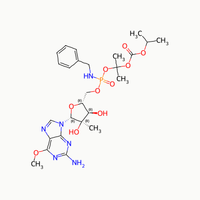 COc1nc(N)nc2c1ncn2[C@@H]1O[C@H](COP(=O)(NCc2ccccc2)OC(C)(C)OC(=O)OC(C)C)[C@@H](O)[C@@]1(C)O